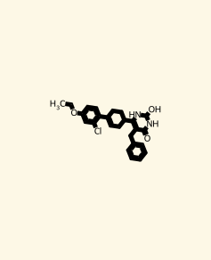 CCOc1ccc(C2=CCC(C3=C(Cc4ccccc4)C(=O)NC(O)N3)CC2)c(Cl)c1